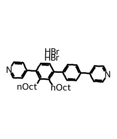 Br.Br.CCCCCCCCc1c(-c2ccncc2)ccc(-c2ccc(-c3ccncc3)cc2)c1CCCCCCCC